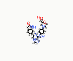 O=C1Cc2ccc(-c3cn4ccnc4c(Nc4ccc(N5CCO[C@H](CO)C5)cc4)n3)cc2N1